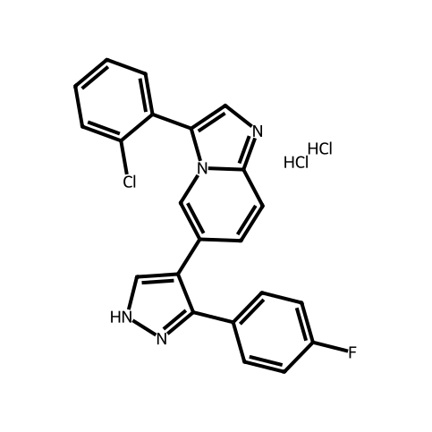 Cl.Cl.Fc1ccc(-c2n[nH]cc2-c2ccc3ncc(-c4ccccc4Cl)n3c2)cc1